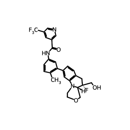 Cc1ccc(NC(=O)c2cncc(C(F)(F)F)c2)cc1-c1ccc2c(c1)N1CCOC[C@H]1[C@](F)(CO)C2